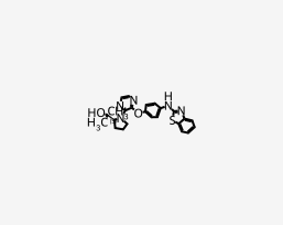 CC(C)(O)[C@@H]1CCCN1c1nccnc1Oc1ccc(Nc2nc3ccccc3s2)cc1